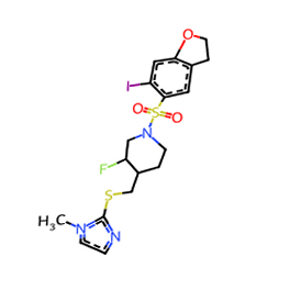 Cn1ccnc1SCC1CCN(S(=O)(=O)c2cc3c(cc2I)OCC3)CC1F